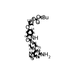 Cc1cc(OC2CN(OC(=O)OC(C)(C)C)C2)ccc1NC(=O)N1CCN(c2nc(N)nc3scnc23)[C@@H](C)C1